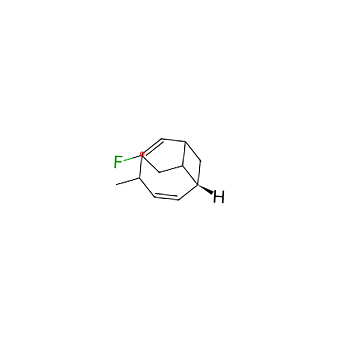 CC1/C=C\C2C[C@H](/C=C\1)C2CCF